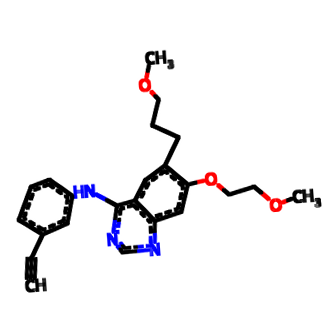 C#Cc1cccc(Nc2ncnc3cc(OCCOC)c(CCCOC)cc23)c1